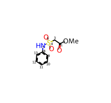 COC(=O)CS(=O)(=O)Nc1ccccc1